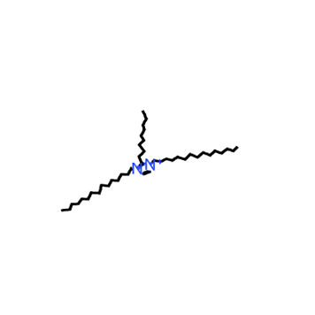 CCCCCCCCCCCCCCCn1cc[n+](CCCCCCCCCCCCCCC)c1CCCCCCCCC